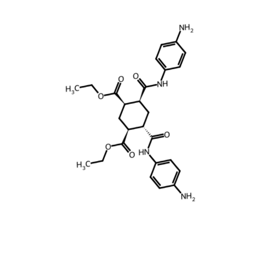 CCOC(=O)[C@H]1C[C@@H](C(=O)OCC)[C@@H](C(=O)Nc2ccc(N)cc2)C[C@@H]1C(=O)Nc1ccc(N)cc1